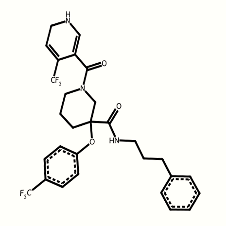 O=C(C1=CNCC=C1C(F)(F)F)N1CCCC(Oc2ccc(C(F)(F)F)cc2)(C(=O)NCCCc2ccccc2)C1